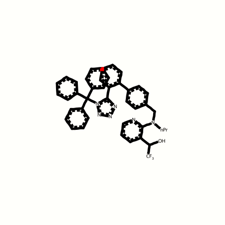 CCCN(Cc1ccc(-c2ccccc2-c2nnnn2C(c2ccccc2)(c2ccccc2)c2ccccc2)cc1)c1ncccc1C(O)C(F)(F)F